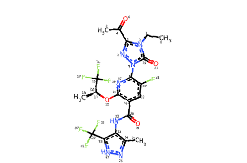 CCn1c(C(C)=O)nn(-c2nc(O[C@@H](C)C(F)(F)F)c(C(=O)Nc3c(C)n[nH]c3C(F)(F)F)cc2F)c1=O